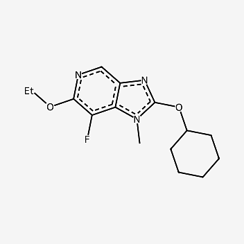 CCOc1ncc2nc(OC3CCCCC3)n(C)c2c1F